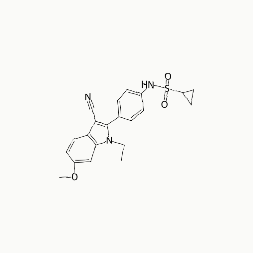 CCn1c(-c2ccc(NS(=O)(=O)C3CC3)cc2)c(C#N)c2ccc(OC)cc21